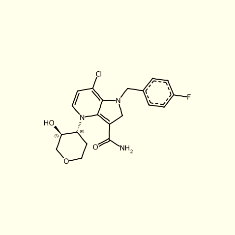 NC(=O)C1=C2C(=C(Cl)C=CN2[C@@H]2CCOC[C@H]2O)N(Cc2ccc(F)cc2)C1